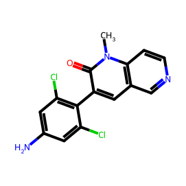 Cn1c(=O)c(-c2c(Cl)cc(N)cc2Cl)cc2cnccc21